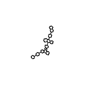 c1ccc(-c2ccc(-c3ccc4c(c3)c3ccccc3n4-c3ccc(-c4c5ccccc5c(-c5ccc(-c6ccc7ccccc7c6)cc5)c5ccccc45)cc3)cc2)cc1